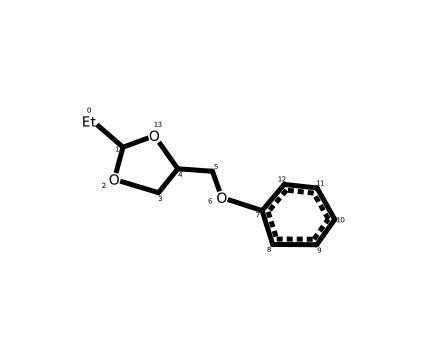 CCC1OCC(COc2ccccc2)O1